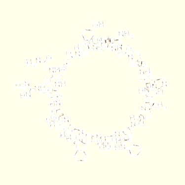 CCCC[C@H]1C(=O)N[C@@H](CCCNC(=N)N)C(=O)NC(C(=O)NCC(N)=O)CSCC(=O)N[C@@H](Cc2ccc(O)cc2)C(=O)N(C)[C@@H](C)C(=O)N[C@@H](CC(N)=O)C(=O)N2CCC[C@H]2C(=O)N[C@@H](Cc2cnc[nH]2)C(=O)N[C@@H](CC(C)C)C(=O)N2[C@@H](C)CC[C@H]2C(=O)N[C@@H](Cc2c[nH]c3ccccc23)C(=O)N[C@@H](CO)C(=O)N[C@@H](Cc2csc3ccccc23)C(=O)N(C)[C@@H](C)C(=O)N1C